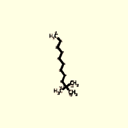 CCCCCC[CH]CCC(C)(C)C